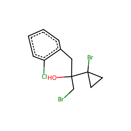 OC(CBr)(Cc1ccccc1Cl)C1(Br)CC1